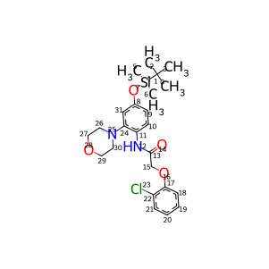 CC(C)(C)[Si](C)(C)Oc1ccc(NC(=O)COc2ccccc2Cl)c(N2CCOCC2)c1